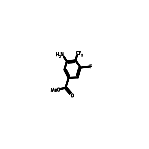 COC(=O)c1cc(N)c(C(F)(F)F)c(F)c1